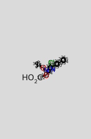 C[Si](C)(C)CCOCn1c(OCCC(=O)O)cc2nc(-c3ccc(-c4ccccc4)cc3)c(Cl)cc21